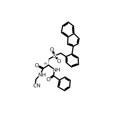 N#CCNC(=O)[C@H](CS(=O)(=O)Cc1ccccc1-c1ccc2ccccc2c1)NC(=O)c1ccccc1